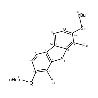 CCCCCCCOc1ccc2c(sc3c(F)c(SCCCC)ccc32)c1F